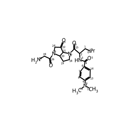 CC(C)CC(NC(=O)c1ccc(N(C)C)cc1)C(=O)N1CCC2C1C(=O)CN2C(=O)CN